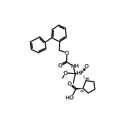 COC(C)(NC(=O)OCc1ccccc1-c1ccccc1)[PH](=O)[C@@H]1CCC[C@H]1C(=O)O